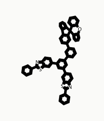 c1ccc(-c2nc3ccc(-c4cc(-c5cccc(-c6ccc7c(c6)C6(c8ccccc8Oc8ccccc86)c6ccccc6-7)c5)cc(-c5ccc6nc(-c7ccccc7)sc6c5)c4)cc3s2)cc1